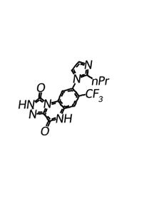 CCCc1nccn1-c1cc2c(cc1C(F)(F)F)[nH]c(=O)c1n[nH]c(=O)n12